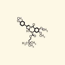 COc1ccc(C2=CN3C(=O)c4cc(OC)c(OC)cc4N(C(=O)OCC[Si](C)(C)C)C[C@@H]3C2)cc1